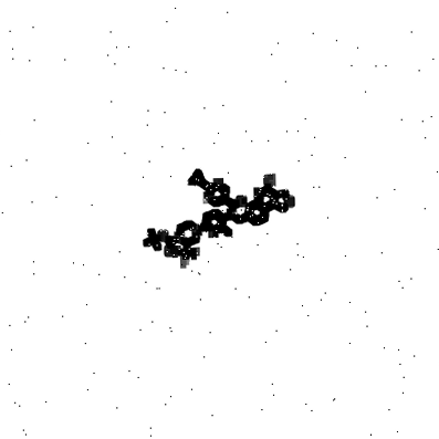 Cc1nc(N2CCN(C(=O)OC(C)(C)C)C(C(F)(F)F)C2)ccc1N(Cc1ccc2c3c(c(Cl)nc2c1)COC3)C(=O)c1cnc(C2CC2)nc1